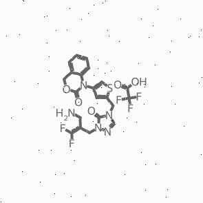 NCC(Cn1ncn(Cc2cc(N3C(=O)OCc4ccccc43)cs2)c1=O)=C(F)F.O=C(O)C(F)(F)F